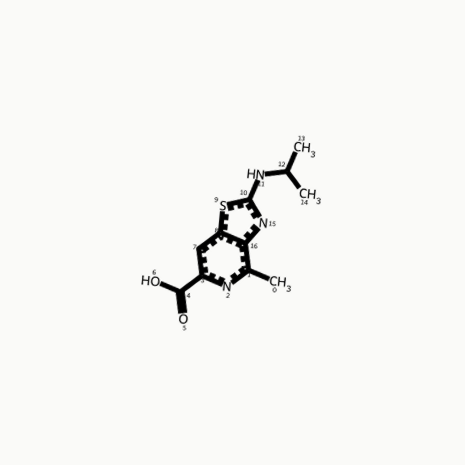 Cc1nc(C(=O)O)cc2sc(NC(C)C)nc12